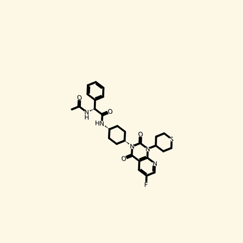 CC(=O)N[C@@H](C(=O)N[C@H]1CC[C@@H](n2c(=O)c3cc(F)cnc3n(C3CCSCC3)c2=O)CC1)c1ccccc1